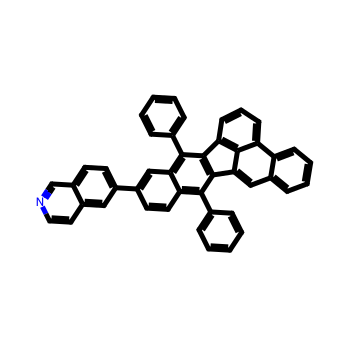 c1ccc(-c2c3c(c(-c4ccccc4)c4cc(-c5ccc6cnccc6c5)ccc24)-c2cccc4c2c-3cc2ccccc24)cc1